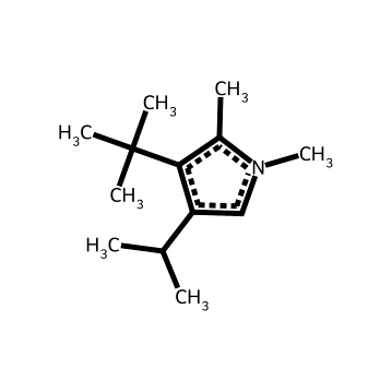 Cc1c(C(C)(C)C)c(C(C)C)cn1C